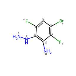 NNc1c(F)cc(Br)c(F)c1N